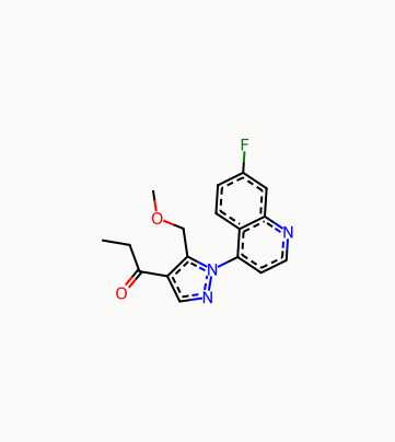 CCC(=O)c1cnn(-c2ccnc3cc(F)ccc23)c1COC